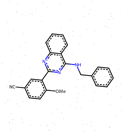 COc1ccc(C#N)cc1-c1nc(NCc2ccccc2)c2ccccc2n1